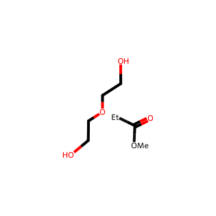 CCC(=O)OC.OCCOCCO